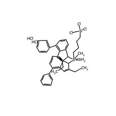 CCC1=Cc2c(-c3ccccc3)cccc2[CH]1[Zr]([CH3])(=[SiH2])([CH2]CCC[Si](Cl)(Cl)Cl)[CH]1C(CC)=Cc2c(-c3ccccc3)cccc21.Cl.Cl